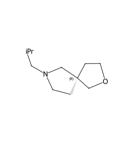 CC(C)CN1CC[C@@]2(CCOC2)C1